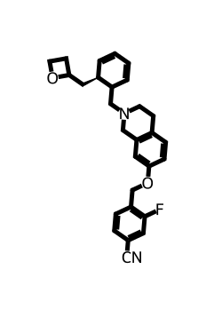 N#Cc1ccc(COc2ccc3c(c2)CN(CC2C=CC=C[C@@H]2CC2CCO2)CC3)c(F)c1